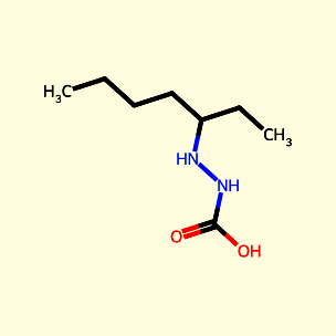 CCCCC(CC)NNC(=O)O